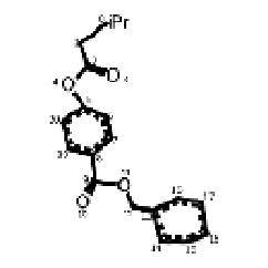 CC(C)CC(=O)Oc1ccc(C(=O)OCc2ccccc2)cc1